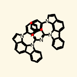 c1ccc(-n2ccc3ccc4c5ccccc5n(-c5ccnc(-n6c7ccccc7c7ccc8ccn(-c9ccccc9)c8c76)n5)c4c32)cc1